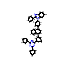 c1ccc(-c2nc(-c3ccccc3)nc(-c3cccc(-c4ccc(-c5ccc(-n6c(-c7ccccc7)nc7ccccc76)cc5)c5ccccc45)c3)n2)cc1